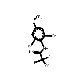 N=C(Nc1c(Br)cc(OC(F)(F)F)cc1Br)C(F)(F)C(F)(F)F